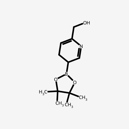 CC1(C)OB(C2C=NC(CO)=CC2)OC1(C)C